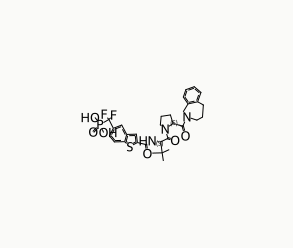 CC(C)(C)[C@H](NC(=O)c1cc2cc(C(F)(F)P(=O)(O)O)ccc2s1)C(=O)N1CCC[C@H]1C(=O)N1CCCc2ccccc2C1